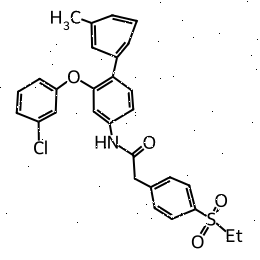 CCS(=O)(=O)c1ccc(CC(=O)Nc2ccc(-c3cccc(C)c3)c(Oc3cccc(Cl)c3)c2)cc1